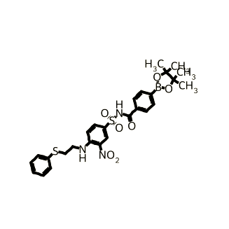 CC1(C)OB(c2ccc(C(=O)NS(=O)(=O)c3ccc(NCCSc4ccccc4)c([N+](=O)[O-])c3)cc2)OC1(C)C